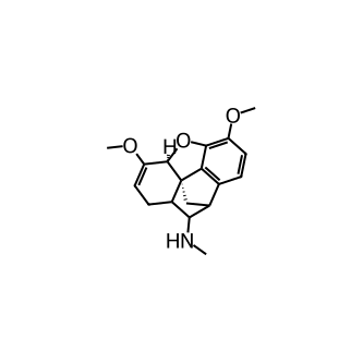 CNC1C2C[C@@]34c5c2ccc(OC)c5O[C@@H]3C(OC)=CCC14